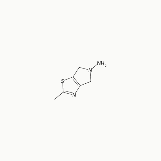 Cc1nc2c(s1)CN(N)C2